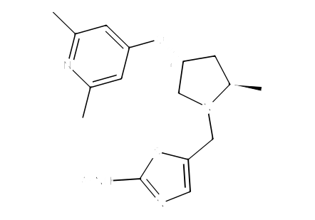 CC(=O)Nc1ncc(CN2C[C@H](Oc3cc(C)nc(C)c3)C[C@H]2C)s1